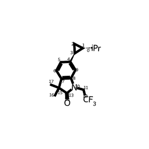 CC(C)[C@H]1C[C@@H]1c1ccc2c(c1)N(CC(F)(F)F)C(=O)C2(C)C